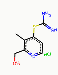 Cc1c(SC(=N)N)ccnc1CO.Cl